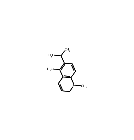 Cc1c(C(C)C)ccc2c1C=CCN2C